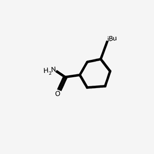 CCC(C)C1CCCC(C(N)=O)C1